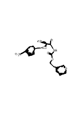 CC(C)C(NC(=O)OCc1cccnc1)C(=O)Oc1ccc([N+](=O)[O-])cc1